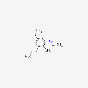 CCCc1cc(CC)cc(NCC)c1C